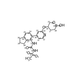 CS(=O)(=O)NC(=O)Nc1c(-c2ccnc(OC3CCB(O)OC3)c2)ccc2c1CCC2